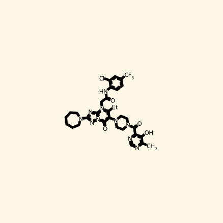 CCc1c(N2CCN(C(=O)c3ncnc(C)c3O)CC2)c(=O)n2nc(N3CCCCCC3)nc2n1CC(=O)Nc1ccc(C(F)(F)F)cc1Cl